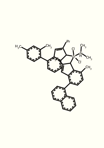 CC1=Cc2c(-c3cccc4ccccc34)ccc(C)c2[CH]1[Zr]([Cl])([Cl])([CH]1C(C(C)C)=Cc2c(-c3ccc(C)cc3C)cccc21)[SiH](C)C